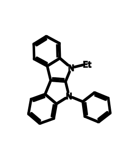 CCn1c2ccccc2c2c3ccccc3n(-c3ccccc3)c21